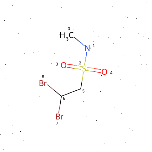 C[N]S(=O)(=O)CC(Br)Br